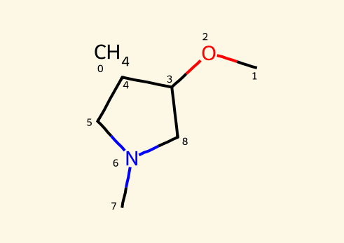 C.COC1CCN(C)C1